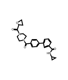 O=C(NC1CC1)c1cccc(-c2ccc(C(=O)N3CCN(C(=O)C4CCO4)CC3)cc2)c1